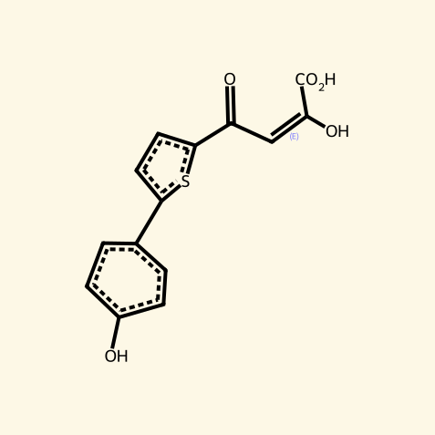 O=C(O)/C(O)=C\C(=O)c1ccc(-c2ccc(O)cc2)s1